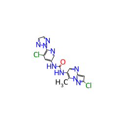 Cc1c(NC(=O)Nc2cnc(-n3nccn3)c(Cl)c2)cnc2cc(Cl)nn12